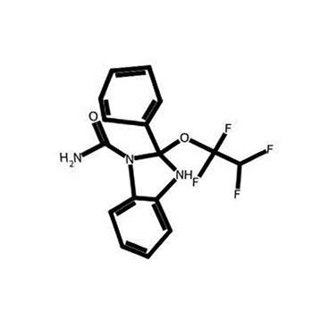 NC(=O)N1c2ccccc2NC1(OC(F)(F)C(F)F)c1ccccc1